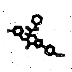 COc1ccc(-c2cc3n(n2)CC(C)(C(=O)NC2CCCCC2)N(Cc2cccc(F)c2)C3=O)cc1